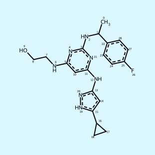 CC(Nc1nc(NCCO)cc(Nc2cc(C3CC3)[nH]n2)n1)c1ccc(F)cc1